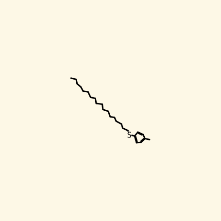 CCCCCCCCCCCCCCCCCCSc1ccc(C)cc1